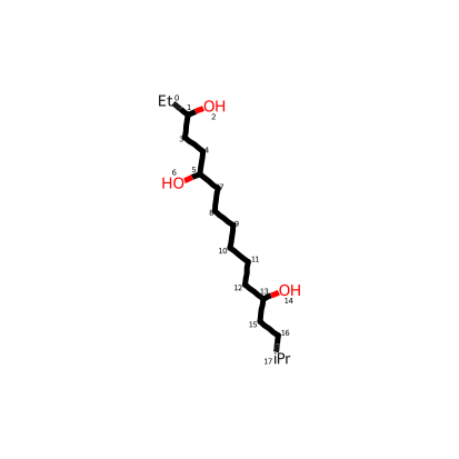 CCC(O)CCC(O)[CH]CCCCCC(O)CCC(C)C